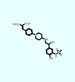 CCOC(=O)C(=Cc1ccc(N2CCC(NCC(O)c3ccc(O)c(NS(C)(=O)=O)c3)CC2)cc1)C(=O)O